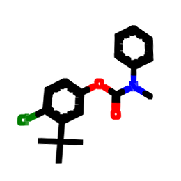 CN(C(=O)Oc1ccc(Cl)c(C(C)(C)C)c1)c1ccccc1